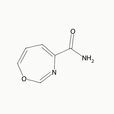 NC(=O)C1=CC=COC=N1